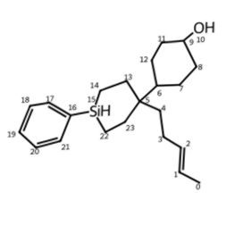 C/C=C/CCC1(C2CCC(O)CC2)CC[SiH](c2ccccc2)CC1